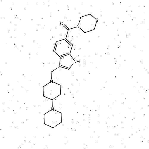 O=C(c1ccc2c(CN3CCC(N4CCCCC4)CC3)c[nH]c2c1)N1CCSCC1